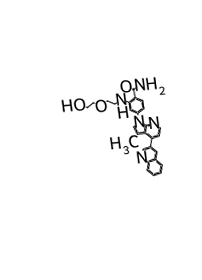 Cc1cn(-c2ccc(C(N)=O)c(NCCOCCO)c2)c2nccc(-c3cnc4ccccc4c3)c12